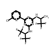 CC(Nc1nc(NC(C(F)(F)F)C(F)(F)F)nc(-c2cccc(Cl)n2)n1)C(F)(F)F